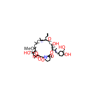 C=CC[C@@H]1/C=C(\C)C[C@H](C)C[C@H](OC)[C@H]2O[C@@](O)(C(=O)C(=O)N3CCCC[C@H]3C(=O)O[C@H](/C(C)=C/[C@@H]3CC[C@@H](O)[C@H](CO)C3)[C@H](C)[C@@H](O)CC1=O)C(C)(C)C[C@@H]2CO